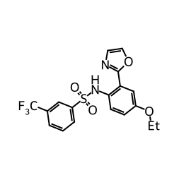 CCOc1ccc(NS(=O)(=O)c2cccc(C(F)(F)F)c2)c(-c2ncco2)c1